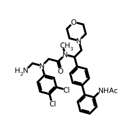 CC(=O)Nc1ccccc1-c1ccc(C(CN2CCOCC2)N(C)C(=O)CN(CN)c2ccc(Cl)c(Cl)c2)cc1